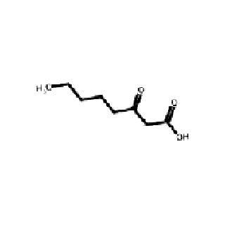 CCCCCC(=O)[CH]C(=O)O